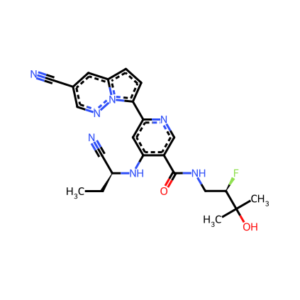 CC[C@@H](C#N)Nc1cc(-c2ccc3cc(C#N)cnn23)ncc1C(=O)NC[C@@H](F)C(C)(C)O